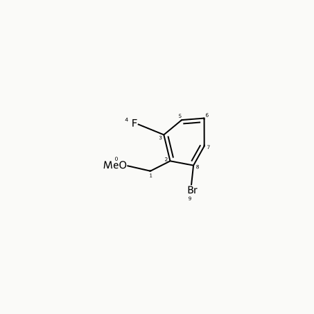 COCc1c(F)cccc1Br